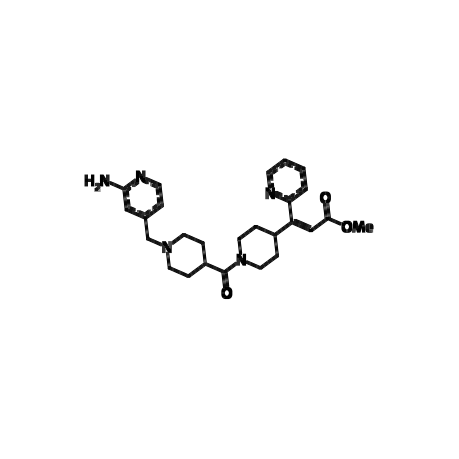 COC(=O)/C=C(\c1ccccn1)C1CCN(C(=O)C2CCN(Cc3ccnc(N)c3)CC2)CC1